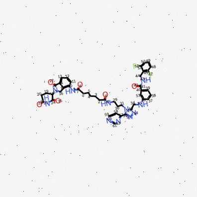 O=C(CCCCCC(=O)Nc1cccc2c1CN(C1CCC(=O)NC1=O)C2=O)NCCCn1c(CNc2cccc(C(=O)NCc3c(F)cccc3F)c2)nnc1-c1ccncn1